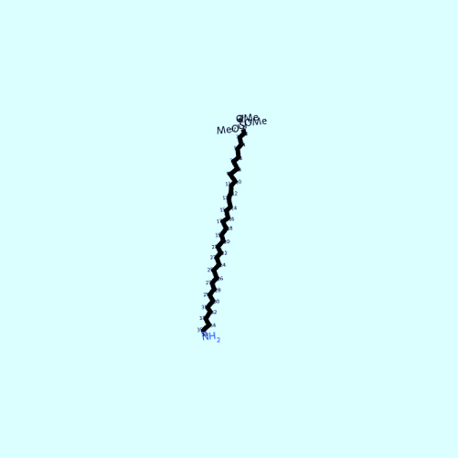 CO[Si](CCCCCCCCCCCCCCCCCCCCCCCCCCCCCCCCCCN)(OC)OC